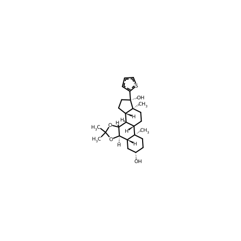 CC1(C)O[C@H]2[C@H](O1)[C@H]1C[C@@H](O)CC[C@]1(C)[C@H]1CC[C@@]3(C)[C@@H](CC[C@@]3(O)c3cccs3)[C@H]21